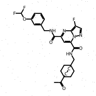 CC(=O)C12CCC(CNC(=O)c3cc(C(=O)NCc4cccc(OC(F)F)c4)nc4c(F)cnn34)(CC1)CC2